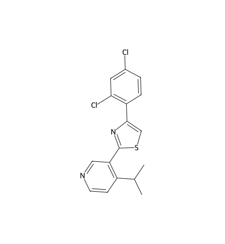 CC(C)c1ccncc1-c1nc(-c2ccc(Cl)cc2Cl)cs1